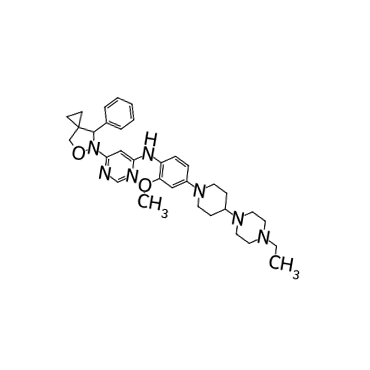 CCN1CCN(C2CCN(c3ccc(Nc4cc(N5OCC6(CC6)C5c5ccccc5)ncn4)c(OC)c3)CC2)CC1